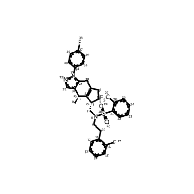 C[C@@H]1C2=C(CC[C@@H]2CN(CCc2ccccc2F)S(=O)(=O)c2ccccc2C(F)(F)F)Cc2c1cnn2-c1ccc(F)cc1